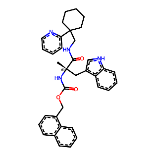 C[C@@](Cc1c[nH]c2ccccc12)(NC(=O)OCc1cccc2ccccc12)C(=O)NCC1(c2ccccn2)CCCCC1